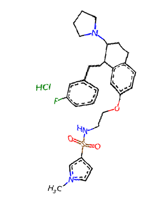 Cl.Cn1ccc(S(=O)(=O)NCCOc2ccc3c(c2)C(Cc2cccc(F)c2)C(N2CCCC2)CC3)c1